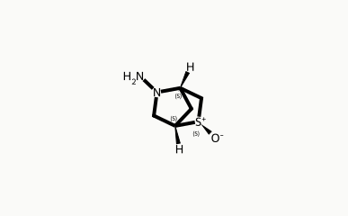 NN1C[C@@H]2C[C@H]1C[S@@+]2[O-]